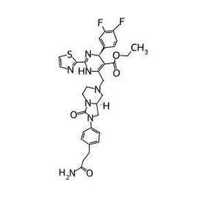 CCOC(=O)C1=C(CN2CCN3C(=O)N(c4ccc(CCC(N)=O)cc4)C[C@@H]3C2)NC(c2nccs2)=N[C@H]1c1ccc(F)c(F)c1